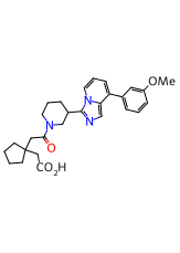 COc1cccc(-c2cccn3c(C4CCCN(C(=O)CC5(CC(=O)O)CCCC5)C4)ncc23)c1